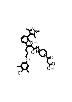 Cc1cc(OCCCc2c(C(=O)NC3CCN(C(=O)CC(=O)O)CC3)[nH]c3c(-c4c(C)nn(C)c4C)cccc23)cc(C)c1Cl